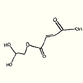 O=C(O)/C=C/C(=O)OCC(O)O